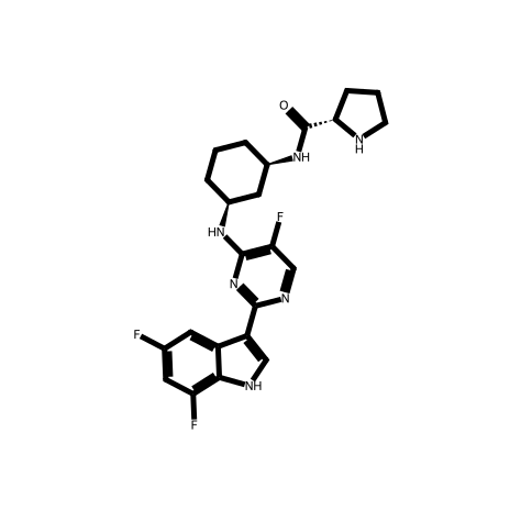 O=C(N[C@@H]1CCC[C@H](Nc2nc(-c3c[nH]c4c(F)cc(F)cc34)ncc2F)C1)[C@@H]1CCCN1